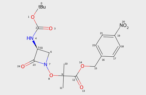 CC(C)(C)OC(=O)N[C@H]1CN(OC(C)(C)C(=O)OCc2ccc([N+](=O)[O-])cc2)C1=O